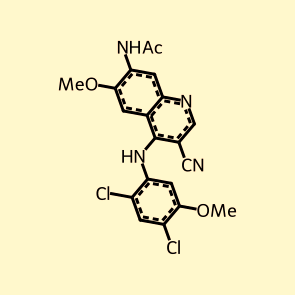 COc1cc(Nc2c(C#N)cnc3cc(NC(C)=O)c(OC)cc23)c(Cl)cc1Cl